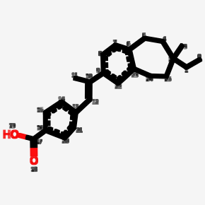 CCC1(C)CCc2ccc(C(C)=Cc3ccc(C(=O)O)cc3)cc2CC1